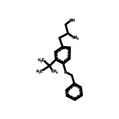 CC(C)(C)c1cc(CC(N)CO)ccc1OCc1ccccc1